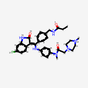 CCC(=O)NCc1ccc(C(Nc2ccc(N(C)C(=O)CN3CCN(C)CC3)cc2)=C2C(=O)Nc3cc(F)ccc32)cc1